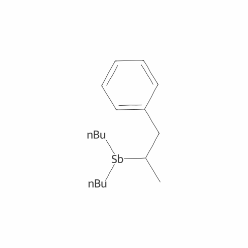 CCC[CH2][Sb]([CH2]CCC)[CH](C)Cc1ccccc1